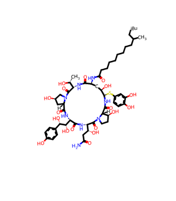 CCC(C)CC(C)CCCCCCCCC(=O)N[C@H]1C[C@@H](O)[C@@H](Sc2ccc(O)c(O)c2)NC(=O)[C@@H]2[C@@H](O)CCN2C(=O)[C@H]([C@H](O)CC(N)=O)NC(=O)[C@H]([C@H](O)[C@@H](O)c2ccc(O)cc2)NC(=O)[C@@H]2C[C@@H](O)CN2C(=O)[C@H]([C@@H](C)O)NC1=O